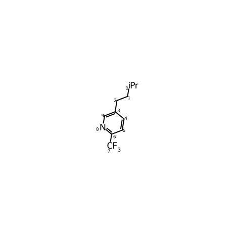 CC(C)CCc1ccc(C(F)(F)F)nc1